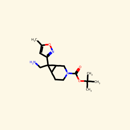 Cc1cc(C2(CN)C3CCN(C(=O)OC(C)(C)C)CC32)no1